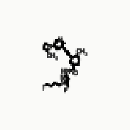 CC1CCC(C(=O)Nc2cc(CF)n(CCCCF)n2)=CC1C#Cc1cncc(N2CCC2C)c1